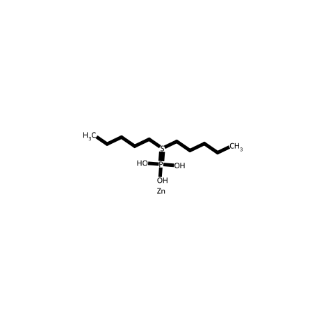 CCCCCS(CCCCC)=P(O)(O)O.[Zn]